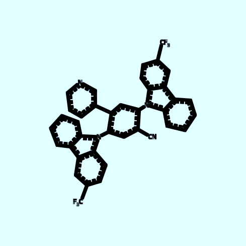 N#Cc1cc(-n2c3ccccc3c3cc(C(F)(F)F)ccc32)c(-c2cccnc2)cc1-n1c2ccccc2c2cc(C(F)(F)F)ccc21